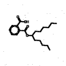 CCCCCCC(CCCCC)OC(=O)c1ccccc1C(=O)O